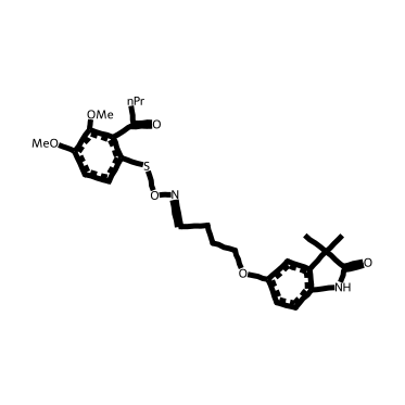 CCCC(=O)c1c(SON=CCCCOc2ccc3c(c2)C(C)(C)C(=O)N3)ccc(OC)c1OC